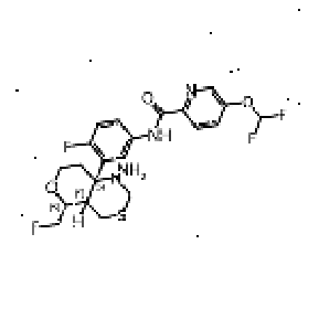 NN1CSC[C@@H]2[C@@H](CF)OCC[C@@]21c1cc(NC(=O)c2ccc(OC(F)F)cn2)ccc1F